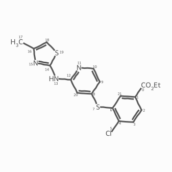 CCOC(=O)c1ccc(Cl)c(Sc2ccnc(Nc3nc(C)cs3)c2)c1